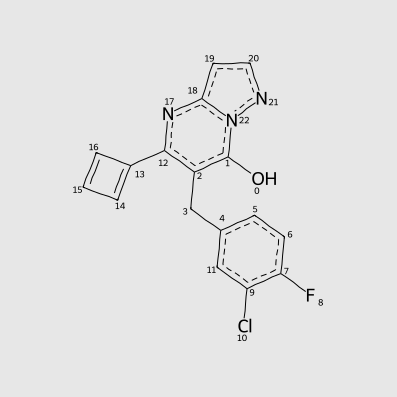 Oc1c(Cc2ccc(F)c(Cl)c2)c(C2=CC=C2)nc2ccnn12